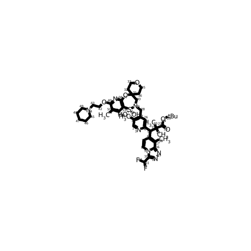 Cc1cnc(C(c2ccn3c(C(F)F)nnc3c2C)C(C)(C)C(=O)OC(C)(C)C)cc1CN1CC2(CCOCC2)Oc2nc(OCCN3CCCCC3)c(C)cc2S1(O)O